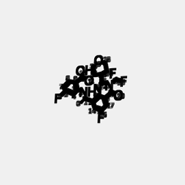 C[C@@H](Nc1cc(F)ccc1C(=O)O)c1cc(F)cc2c(=O)n(C(F)F)c(C3CCOCC3)nc12